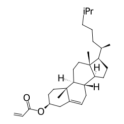 C=CC(=O)O[C@H]1CC[C@@]2(C)C(=CC[C@H]3[C@@H]4CC[C@H]([C@H](C)CCCC(C)C)[C@@]4(C)CC[C@@H]32)C1